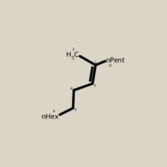 [CH2]CCCCC(C)=CCCCCCCCC